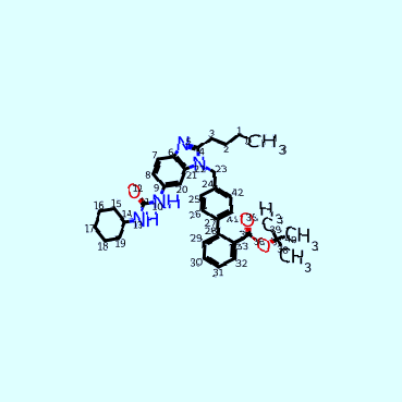 CCCCc1nc2ccc(NC(=O)NC3CCCCC3)cc2n1Cc1ccc(-c2ccccc2C(=O)OC(C)(C)C)cc1